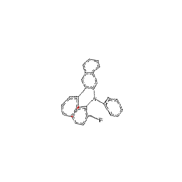 Fc1ccccc1N(c1ccccc1)c1cc2ccccc2cc1-c1ccccc1